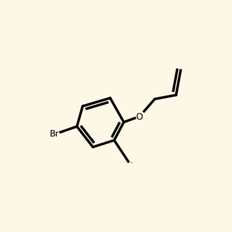 [CH2]c1cc(Br)ccc1OCC=C